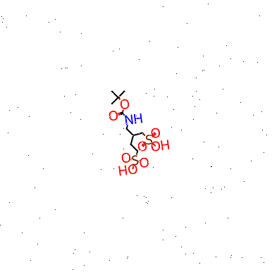 CC(C)(C)OC(=O)NCC(CCS(=O)(=O)O)CS(=O)(=O)O